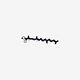 COC(=O)/C(C)=C/C=C/C(C)=C/C=C/C=C(C)/C=C/C=C(C)C